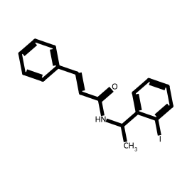 CC(NC(=O)C=Cc1ccccc1)c1ccccc1I